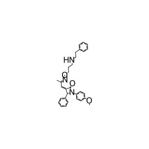 COc1ccc(N2C(=O)C(=CC(C)=NOCCCNCCc3ccccc3)C2c2ccccc2)cc1